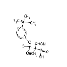 CC(O)(P(=O)(O)O)P(=O)(O)Oc1cccc([Si](C)(C)C)c1